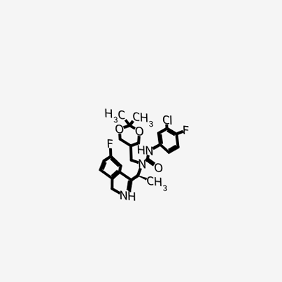 C[C@@H](C1=CNCc2ccc(F)cc21)N(CC1COC(C)(C)OC1)C(=O)Nc1ccc(F)c(Cl)c1